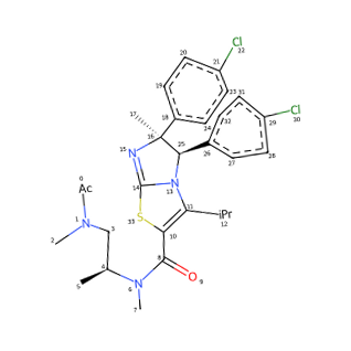 CC(=O)N(C)C[C@H](C)N(C)C(=O)C1=C(C(C)C)N2C(=N[C@@](C)(c3ccc(Cl)cc3)[C@H]2c2ccc(Cl)cc2)S1